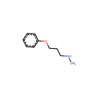 CNCCCOc1ccccc1